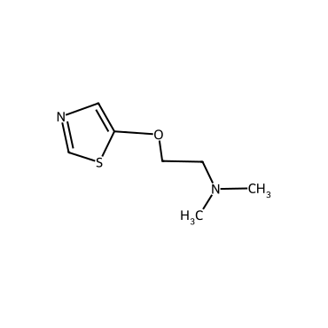 CN(C)CCOc1cncs1